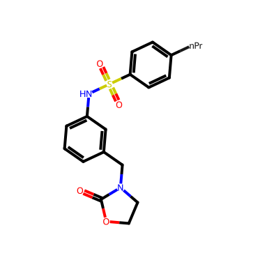 CCCc1ccc(S(=O)(=O)Nc2cccc(CN3CCOC3=O)c2)cc1